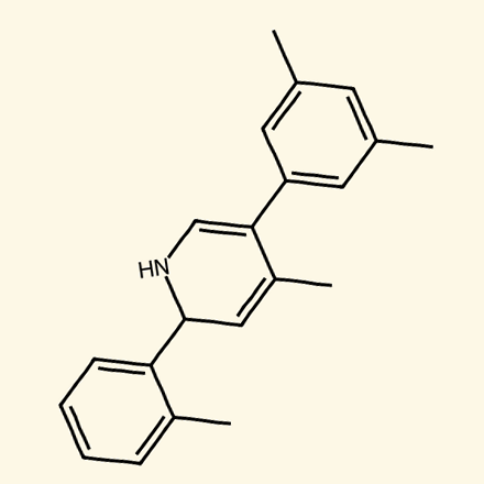 CC1=CC(c2ccccc2C)NC=C1c1cc(C)cc(C)c1